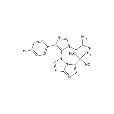 CC(C)(N=O)c1cnc2ccn(-c3c(-c4ccc(F)cc4)ncn3CC(F)P)n12